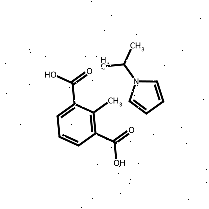 CC(C)n1cccc1.Cc1c(C(=O)O)cccc1C(=O)O